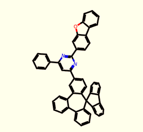 c1ccc(-c2cc(-c3ccc4c(c3)-c3ccccc3-c3ccccc3C43c4ccccc4-c4ccccc43)nc(-c3ccc4c(c3)oc3ccccc34)n2)cc1